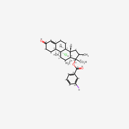 CC1C[C@H]2[C@@H]3CCC4=CC(=O)CC[C@]4(C)[C@]3(Cl)CC[C@]2(C)C1(OC(=O)c1cccc(I)c1)C(=O)O